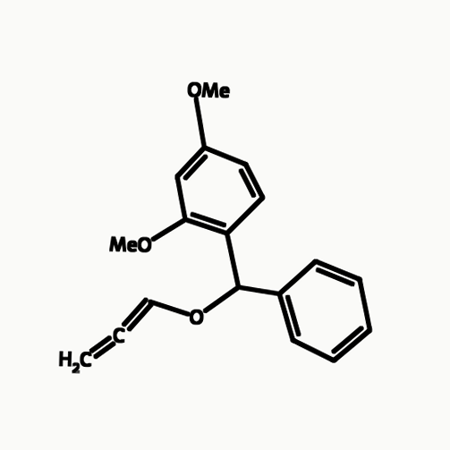 C=C=COC(c1ccccc1)c1ccc(OC)cc1OC